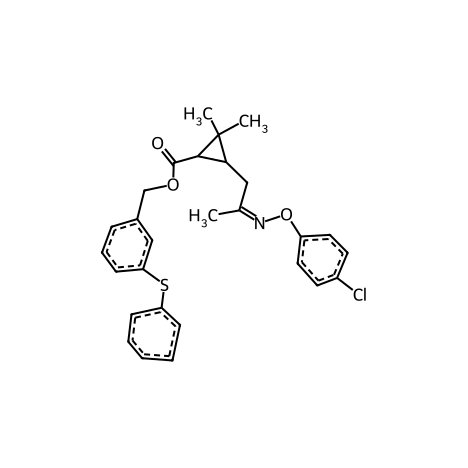 C/C(CC1C(C(=O)OCc2cccc(Sc3ccccc3)c2)C1(C)C)=N/Oc1ccc(Cl)cc1